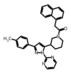 Cc1ccc(-c2cc(C3CCCN(C(=O)Cc4cccc5ccccc45)C3)n(-c3ncccn3)n2)cc1